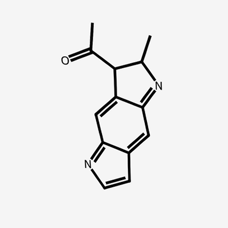 CC(=O)C1c2cc3c(cc2=NC1C)C=CN=3